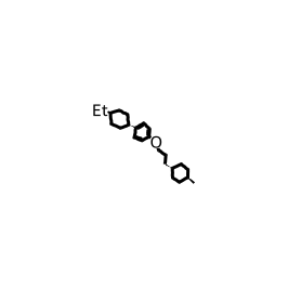 CC[C@H]1CC[C@H](c2ccc(OCCC[C@H]3CC[C@H](C)CC3)cc2)CC1